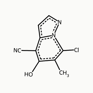 Cc1c(O)c(C#N)c2ccnn2c1Cl